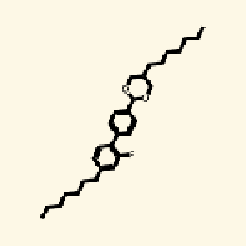 CCCCCCCc1ccc(-c2ccc(C3OCC(CCCCCCC)CO3)cc2)c(F)c1